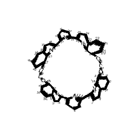 c1cc2nc(c1)-c1ccc3cccc(c3n1)OCOc1cccc3ccc(nc13)-c1cccc(n1)-c1ccc3cccc(c3n1)OCOc1cccc3ccc-2nc13